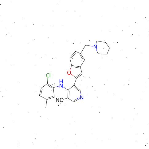 Cc1ccc(Cl)c(Nc2c(C#N)cncc2-c2cc3cc(CN4CCCCC4)ccc3o2)c1